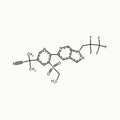 CCS(=O)(=O)c1cc(C(C)(C)C#N)cnc1-c1cc2cnn(CC(F)(F)C(F)(F)F)c2cn1